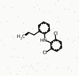 C=CCc1ccccc1Nc1c(Cl)cccc1Cl